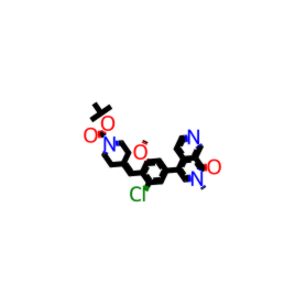 COc1cc(-c2cn(C)c(=O)c3cnccc23)cc(Cl)c1C=C1CCN(C(=O)OC(C)(C)C)CC1